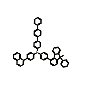 CC1(c2ccccc2)c2ccccc2-c2c(-c3ccc(N(c4ccc(-c5ccc(-c6ccccc6)cc5)cc4)c4ccc(-c5cccc6ccccc56)cc4)cc3)cccc21